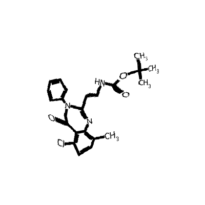 Cc1ccc(Cl)c2c(=O)n(-c3ccccc3)c(CCNC(=O)OC(C)(C)C)nc12